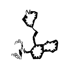 CCCCN(CCCC)c1ccc2ccccc2c1C=Cc1ccncc1